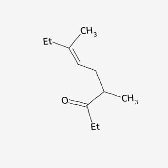 CCC(=O)C(C)C/C=C(\C)CC